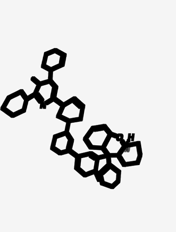 CC1CC=C(C2=CC(C3CC=CC(C4=CC(C5C=CCCC5)C(C)C(C5CCCCC5)=N4)C3)CCC2)C=C1C1(C2=CCCCC2)C2CCC=CC2O[C@H]2CCCCC21